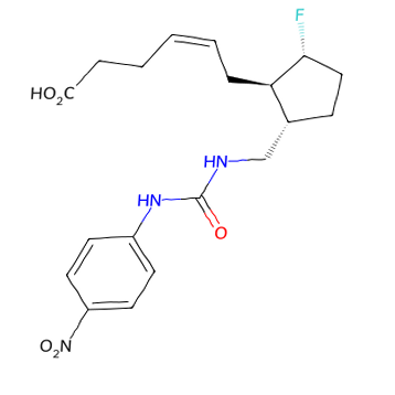 O=C(O)CC/C=C\C[C@@H]1[C@@H](CNC(=O)Nc2ccc([N+](=O)[O-])cc2)CC[C@H]1F